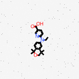 CCN(c1ccc2c(c1)C(C)(C)COC2(C)C)c1ccc(C(=O)O)cn1